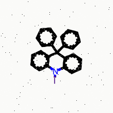 IN1c2ccccc2C(c2ccccc2)(c2ccccc2)c2ccccc21